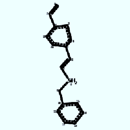 C=Cc1ccc(C=C[SiH2]Cc2ccccc2)cc1